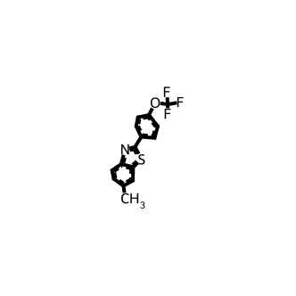 Cc1ccc2nc(-c3ccc(OC(F)(F)F)cc3)sc2c1